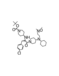 CON(C)CCN(C1CCCCC1)C1CCN(C(=O)[C@@H](Cc2ccc(Cl)cc2)NC2CCN(C(=O)OC(C)(C)C)CC2)CC1